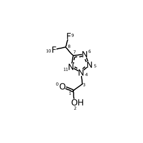 O=C(O)Cn1nnc(C(F)F)n1